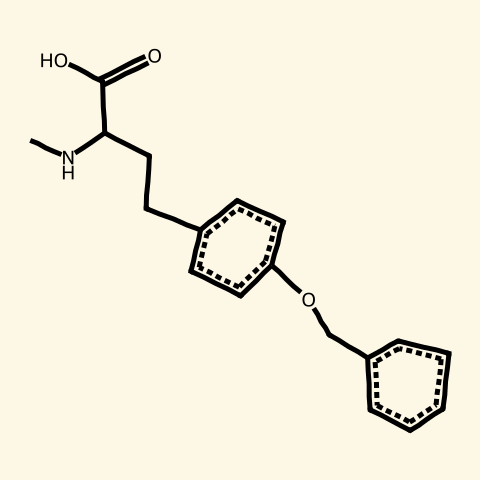 CNC(CCc1ccc(OCc2ccccc2)cc1)C(=O)O